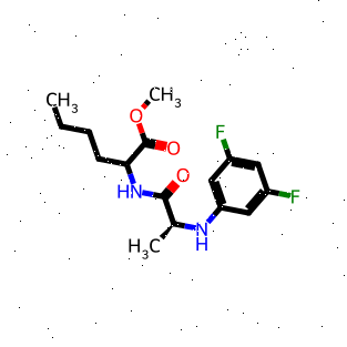 CCCCC(NC(=O)[C@H](C)Nc1cc(F)cc(F)c1)C(=O)OC